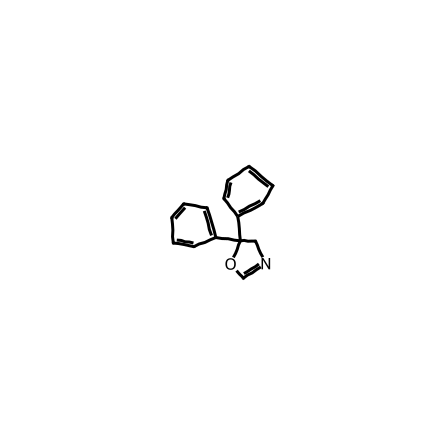 C1=NCC(c2ccccc2)(c2ccccc2)O1